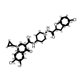 O=C(NC1CCN(NC(=O)C2Cc3cc(Cl)ccc3O2)CC1)c1cn(C2CC2)c2cc(Cl)c(F)cc2c1=O